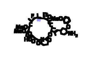 CCC1/C=C(\C)C(F)C(C)CC(OC)C2OC(O)(C(=O)C(=O)N3CCCCC3C(=O)OC(C(C)=CC3CCC(N)C(Oc4cccc(OC)c4)C3)C(C)CCC1=O)C(C)CC2OC